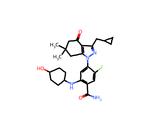 CC1(C)CC(=O)c2c(CC3CC3)nn(-c3cc(NC4CCC(O)CC4)c(C(N)=O)cc3F)c2C1